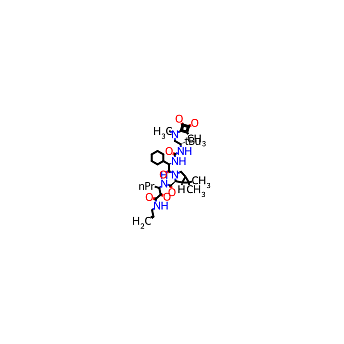 C=CCNC(=O)C(=O)C(CCC)NC(=O)[C@@H]1[C@@H]2C(CN1C(=O)[C@@H](NC(=O)N[C@H](CN(C)c1c(C)c(=O)c1=O)C(C)(C)C)C1CCCCC1)C2(C)C